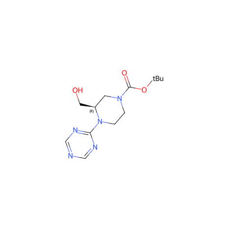 CC(C)(C)OC(=O)N1CCN(c2ncncn2)[C@@H](CO)C1